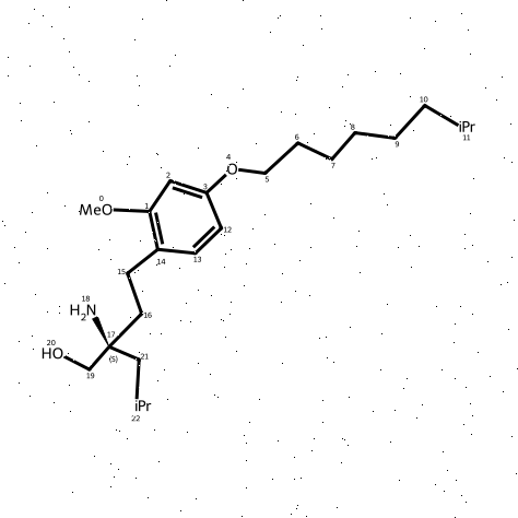 COc1cc(OCCCCCCC(C)C)ccc1CC[C@@](N)(CO)CC(C)C